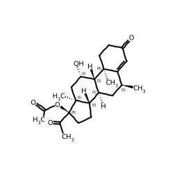 CC(=O)O[C@]1(C(C)=O)CC[C@H]2[C@@H]3C[C@H](C)C4=CC(=O)CC[C@]4(C)[C@H]3[C@@H](O)C[C@@]21C